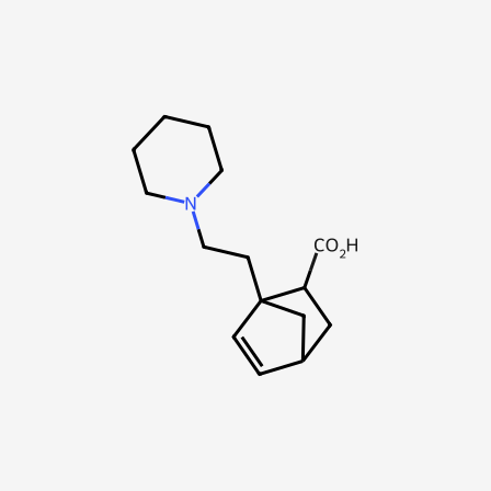 O=C(O)C1CC2C=CC1(CCN1CCCCC1)C2